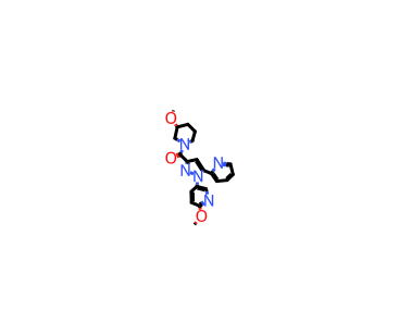 COc1ccc(-n2nc(C(=O)N3CCCC(OC)C3)cc2-c2ccccn2)cn1